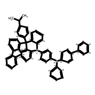 CC(C)c1ccc(C2(c3cccc4c3sc3ccccc34)c3ccccc3N(c3ccc(N(c4ccccc4)c4ccc(-c5ccccc5)cc4)cc3)c3ccccc32)cc1